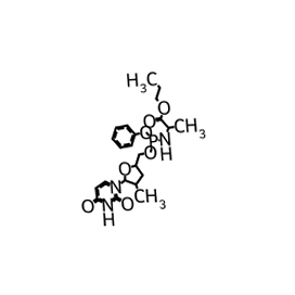 CCCOC(=O)C(C)NP(OCC1CC(C)C(n2ccc(=O)[nH]c2=O)O1)Oc1ccccc1